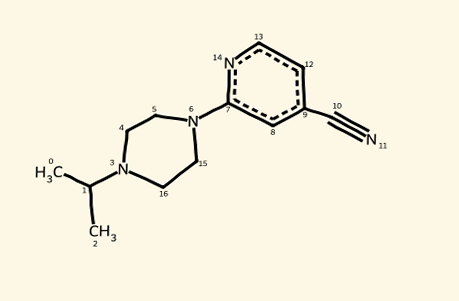 CC(C)N1CCN(c2cc(C#N)ccn2)CC1